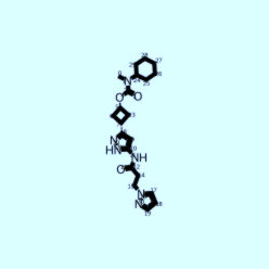 CN(C(=O)O[C@H]1C[C@@H](c2cc(NC(=O)CCn3cccn3)[nH]n2)C1)C1CCCCC1